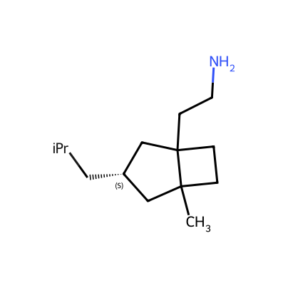 CC(C)C[C@H]1CC2(C)CCC2(CCN)C1